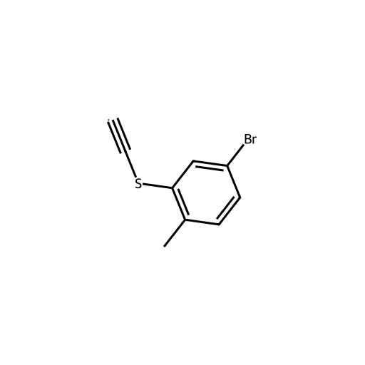 [C]#CSc1cc(Br)ccc1C